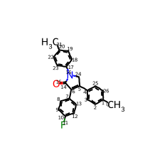 Cc1ccc(C2=C(c3ccc(F)cc3)C(=O)N(c3ccc(C)cc3)C2)cc1